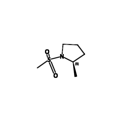 C[C@@H]1CCCN1S(C)(=O)=O